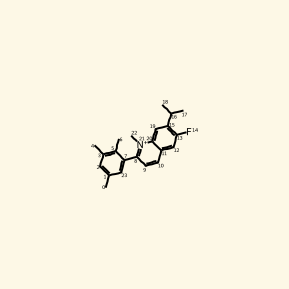 Cc1cc(C)c(C)c(-c2ccc3cc(F)c(C(C)C)cc3[n+]2C)c1